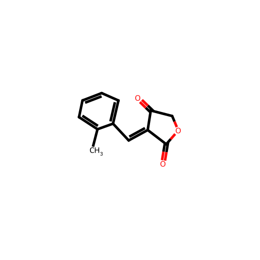 Cc1ccccc1/C=C1\C(=O)COC1=O